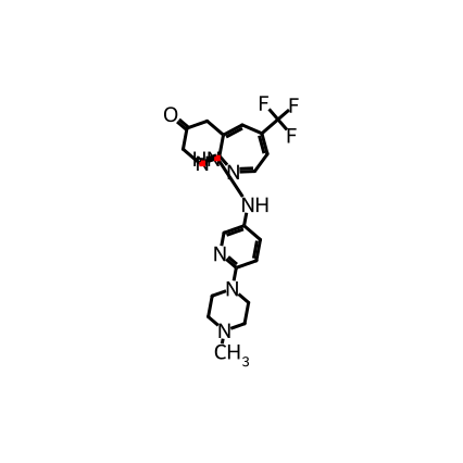 CN1CCN(c2ccc(NC3=NC=C4CC(=O)CC5=CC(C(F)(F)F)=CC=NC45N3)cn2)CC1